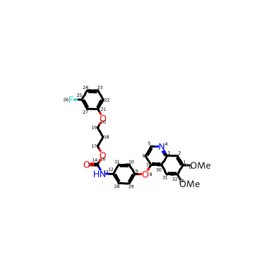 COc1cc2nccc(Oc3ccc(NC(=O)OCCCOc4cccc(F)c4)cc3)c2cc1OC